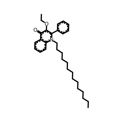 CCCCCCCCCCCCCCn1c(-c2ccccc2)c(OCC)c(=O)c2ccccc21